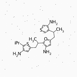 CC(C)c1sc(CC(C)c2oc(CC(C)c3cscc3N)cc2N)cc1N